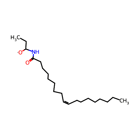 CCCCCCCC/C=C\CCCCCCCC(=O)NC([O])CC